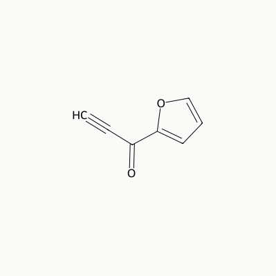 C#CC(=O)c1ccco1